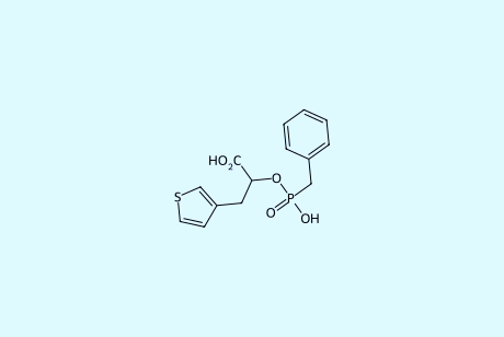 O=C(O)C(Cc1ccsc1)OP(=O)(O)Cc1ccccc1